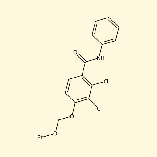 CCOCOc1ccc(C(=O)Nc2ccccc2)c(Cl)c1Cl